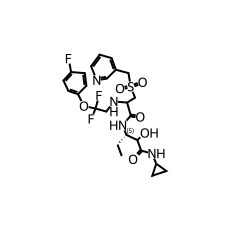 CC[C@H](NC(=O)C(CS(=O)(=O)Cc1cccnc1)NCC(F)(F)Oc1ccc(F)cc1)C(O)C(=O)NC1CC1